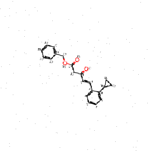 O=C(C=Cc1ccccc1C1CC1)CC(=O)OCc1ccccc1